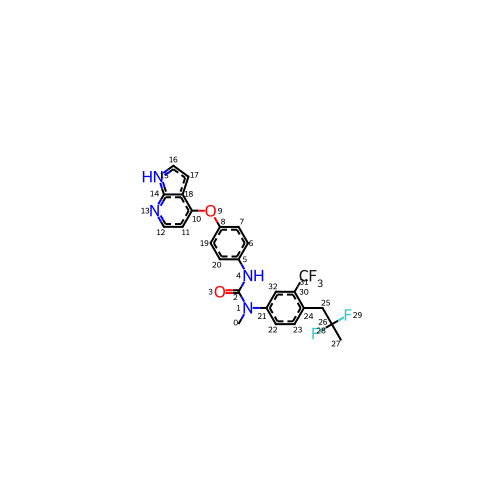 CN(C(=O)Nc1ccc(Oc2ccnc3[nH]ccc23)cc1)c1ccc(CC(C)(F)F)c(C(F)(F)F)c1